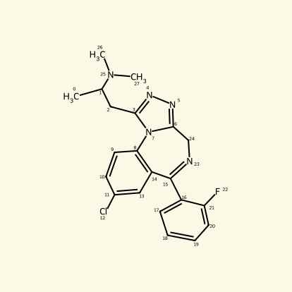 CC(Cc1nnc2n1-c1ccc(Cl)cc1C(c1ccccc1F)=NC2)N(C)C